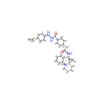 Cc1ccc(NNC(=O)c2ccc(CC(=O)NC(C)c3ccccc3N3CCCCC3)cc2)cc1